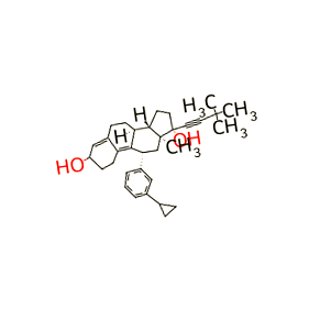 CC(C)(C)C#C[C@]1(O)CC[C@H]2[C@@H]3CCC4=CC(O)CCC4=C3[C@@H](c3cccc(C4CC4)c3)C[C@@]21C